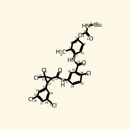 Cc1cc(OC(=O)NC(C)(C)C)ccc1NC(=O)c1cc(NC(=O)C2C(c3cc(Cl)cc(Cl)c3)C2(Cl)Cl)ccc1Cl